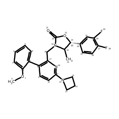 COc1ccccc1-c1ccc(N2CCC2)nc1CN1C(=O)O[C@H](c2ccc(F)c(F)c2)C1C